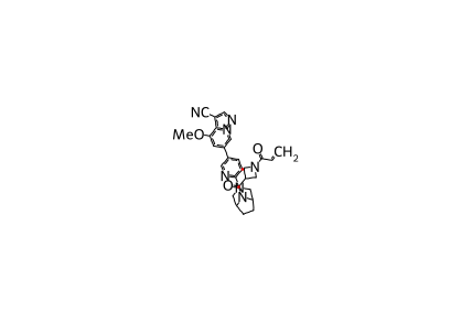 C=CC(=O)N1CC(C(=O)N2C3CCC2CN(c2ccc(-c4cc(OC)c5c(C#N)cnn5c4)cn2)C3)C1